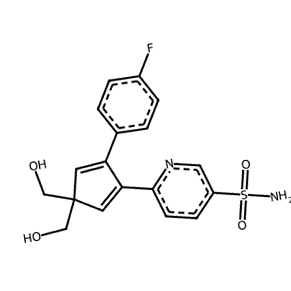 NS(=O)(=O)c1ccc(C2=CC(CO)(CO)C=C2c2ccc(F)cc2)nc1